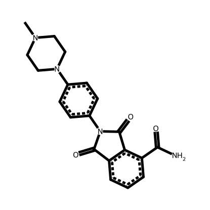 CN1CCN(c2ccc(N3C(=O)c4cccc(C(N)=O)c4C3=O)cc2)CC1